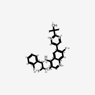 CC(C)(O)c1ncc(-c2cc3c(N[C@@H](c4ccccc4F)C(F)F)c(Cl)cnc3cc2F)cn1